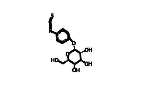 OC[C@H]1O[C@H](Oc2ccc(N=C=S)cc2)[C@H](O)[C@@H](O)[C@H]1O